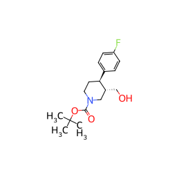 CC(C)(C)OC(=O)N1CC[C@@H](c2ccc(F)cc2)[C@H](CO)C1